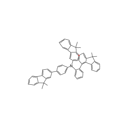 CC1(C)c2ccccc2-c2cc(N(c3ccc(-c4ccc5c(c4)C(C)(C)c4ccccc4-5)cc3)c3ccccc3-c3cccc4c3-c3ccccc3C4(C)C)ccc21